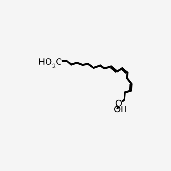 O=C(O)CCCCCCCCC=C/C=C\C/C=C\CCOO